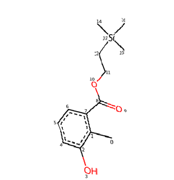 Cc1c(O)cccc1C(=O)OCC[Si](C)(C)C